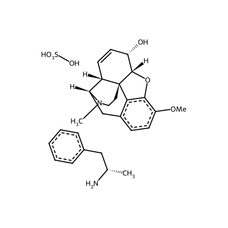 COc1ccc2c3c1O[C@H]1[C@@H](O)C=C[C@H]4[C@@H](C2)N(C)CC[C@@]341.C[C@H](N)Cc1ccccc1.O=S(=O)(O)O